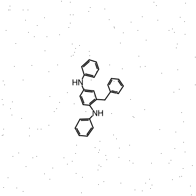 c1ccc(Cc2cc(Nc3ccccc3)ccc2Nc2ccccc2)cc1